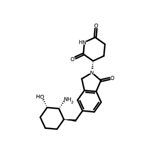 N[C@@H]1[C@@H](Cc2ccc3c(c2)CN([C@H]2CCC(=O)NC2=O)C3=O)CCC[C@@H]1O